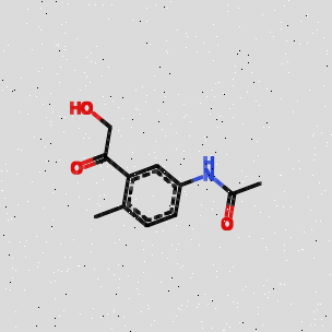 CC(=O)Nc1ccc(C)c(C(=O)CO)c1